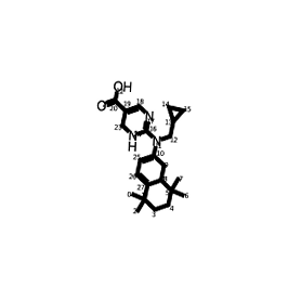 CC1(C)CCC(C)(C)C2CC(N(CC3CC3)C3=NC=C(C(=O)O)CN3)=CC=C21